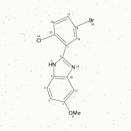 COc1ccc2[nH]c(-c3cc(Br)ccc3Cl)nc2c1